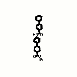 CC(C)OC(=O)C1CCC(c2ccc(NC(=O)c3ccc(-c4ccccc4)cc3)cc2)CC1